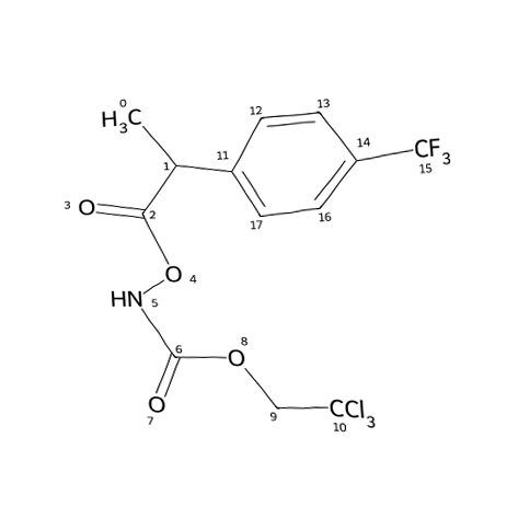 CC(C(=O)ONC(=O)OCC(Cl)(Cl)Cl)c1ccc(C(F)(F)F)cc1